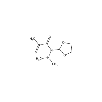 CN(C)N(C(=O)[N+](C)=S)C1OCCO1